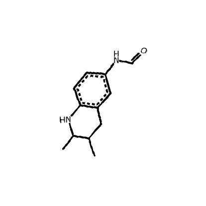 CC1Cc2cc(NC=O)ccc2NC1C